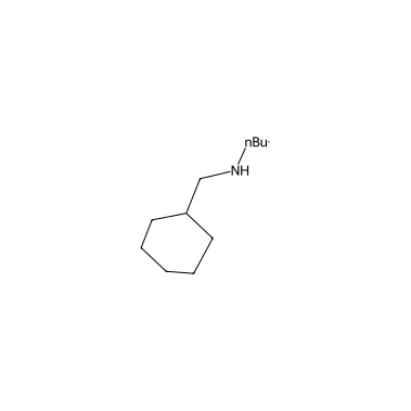 CCC[CH]NCC1CCCCC1